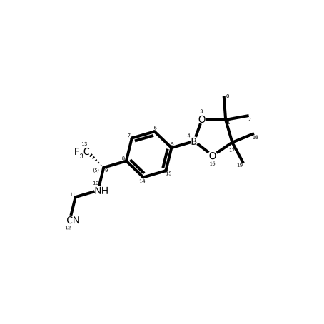 CC1(C)OB(c2ccc([C@H](NCC#N)C(F)(F)F)cc2)OC1(C)C